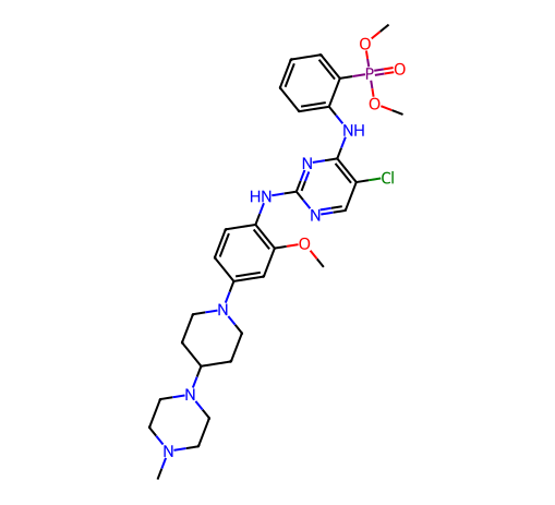 COc1cc(N2CCC(N3CCN(C)CC3)CC2)ccc1Nc1ncc(Cl)c(Nc2ccccc2P(=O)(OC)OC)n1